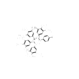 Cc1cc(NN(c2cc(C)c(O)c(C)c2)N(c2cc(C)c(O)c(C)c2)N(Nc2ccc(I)cc2)c2cc(C)c(O)c(C)c2)cc(C)c1O